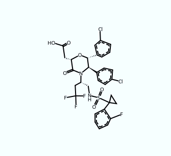 O=C(O)C[C@@H]1O[C@H](c2cccc(Cl)c2)[C@@H](c2ccc(Cl)cc2)N([C@H](CNS(=O)(=O)C2(c3ccccc3F)CC2)CC(F)(F)F)C1=O